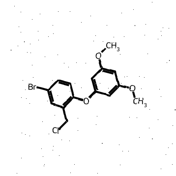 COc1cc(OC)cc(Oc2ccc(Br)cc2CCl)c1